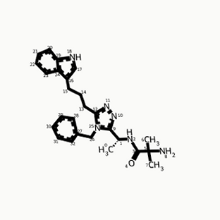 C[C@@H](NC(=O)C(C)(C)N)c1nnc(CCCc2c[nH]c3ccccc23)n1Cc1ccccc1